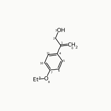 C=C(CO)c1ccc(OCC)cc1